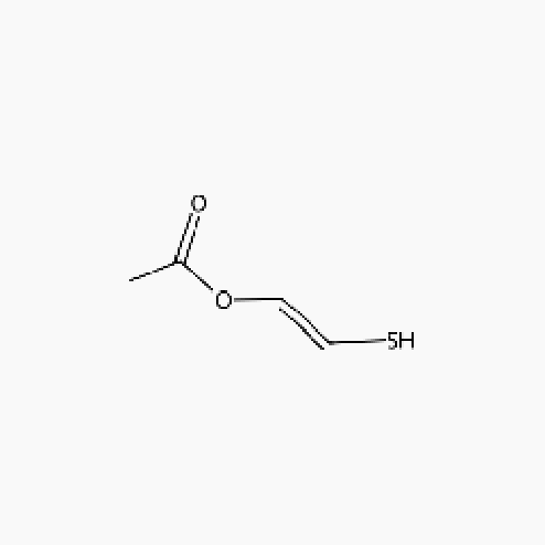 CC(=O)OC=CS